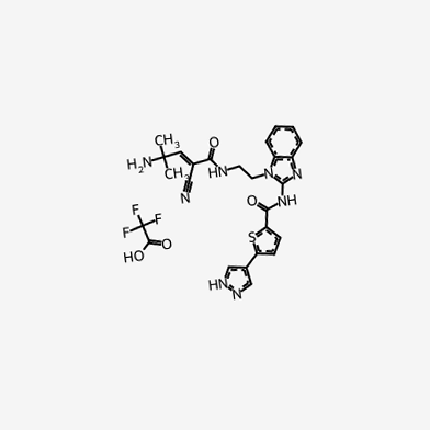 CC(C)(N)C=C(C#N)C(=O)NCCn1c(NC(=O)c2ccc(-c3cn[nH]c3)s2)nc2ccccc21.O=C(O)C(F)(F)F